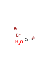 O.[Br-].[Br-].[Br-].[Cr+3]